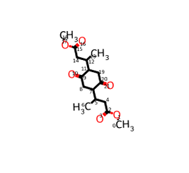 COC(=O)CC(C)C1CC(=O)C(C(C)CC(=O)OC)CC1=O